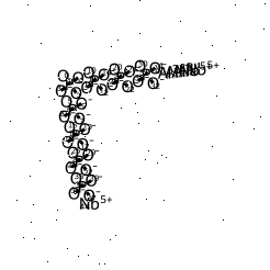 O=P([O-])([O-])[O-].O=P([O-])([O-])[O-].O=P([O-])([O-])[O-].O=P([O-])([O-])[O-].O=P([O-])([O-])[O-].O=P([O-])([O-])[O-].O=P([O-])([O-])[O-].O=P([O-])([O-])[O-].[Al+3].[Al+3].[Al+3].[Nb+5].[Nb+5].[Nb+5]